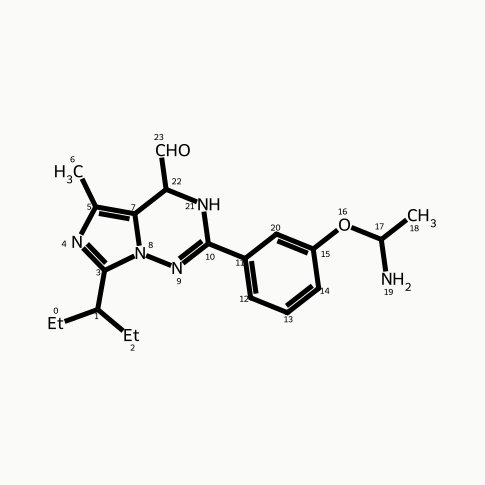 CCC(CC)c1nc(C)c2n1N=C(c1cccc(OC(C)N)c1)NC2C=O